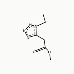 CCn1nnnc1CC(=O)OC